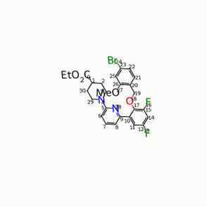 CCOC(=O)C1CCN(c2cccc(-c3cc(F)cc(F)c3OCc3ccc(Br)cc3OC)n2)CC1